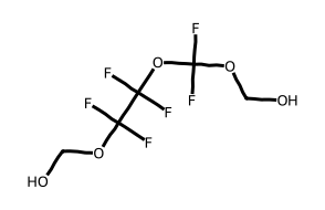 OCOC(F)(F)OC(F)(F)C(F)(F)OCO